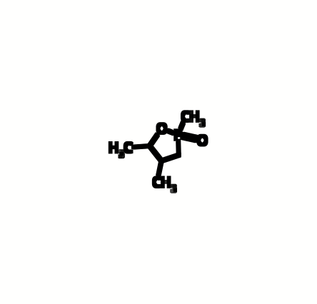 CC1CP(C)(=O)OC1C